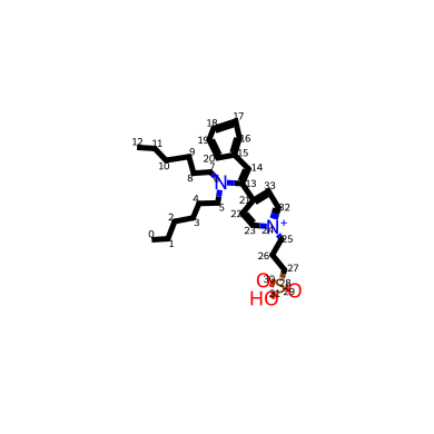 CCCCCCN(CCCCCC)C(=Cc1ccccc1)c1cc[n+](CCCS(=O)(=O)O)cc1